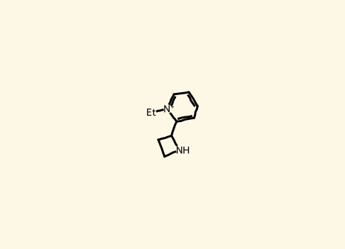 CC[n+]1ccccc1C1CCN1